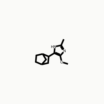 COc1nc(C)[nH]c1C1CC2CCC1C2